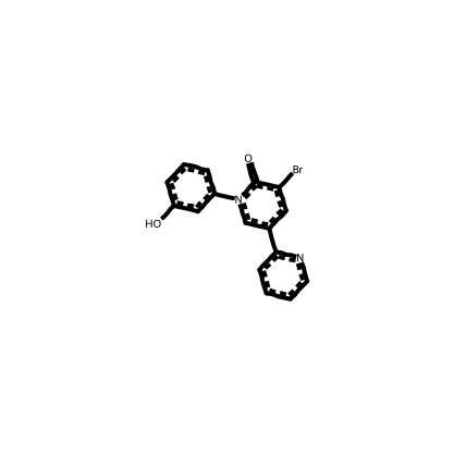 O=c1c(Br)cc(-c2ccccn2)cn1-c1cccc(O)c1